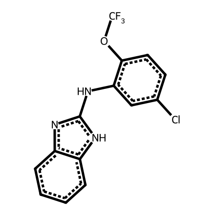 FC(F)(F)Oc1ccc(Cl)cc1Nc1nc2ccccc2[nH]1